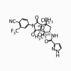 C[C@]12C(=O)N(c3ccc(C#N)c(C(F)(F)F)c3)C(=O)[C@@]1(C)[C@]1(C)C[C@H](NC(=O)c3cc[nH]n3)[C@@]2(C)O1